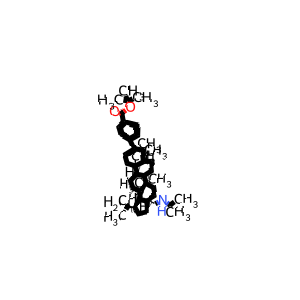 C=C(C)[C@@H]1CC[C@]2(CNC(C)C)CC[C@]3(C)[C@H](CC[C@@H]4[C@@]5(C)CC=C(c6ccc(C(=O)OC(C)(C)C)cc6)C(C)(C)[C@@H]5CC[C@]43C)[C@@H]12